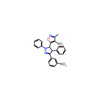 Cc1noc(C2C(c3ccccc3)C(c3cccc([N+](=O)[O-])c3)=NN2c2ccccc2)c1[N+](=O)[O-]